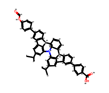 CC(C)c1cc2c3c(c1)N1c4cc(C(C)C)cc5c4B(c4ccc(-c6ccc(C(=O)O)cc6)cc4-5)c4cccc(c41)B3c1ccc(-c3ccc(OC=O)cc3)cc1-2